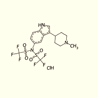 CN1CCC(c2c[nH]c3ccc(N(S(=O)(=O)C(F)(F)F)S(=O)(=O)C(F)(F)F)cc23)CC1.Cl